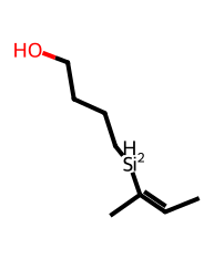 CC=C(C)[SiH2]CCCCO